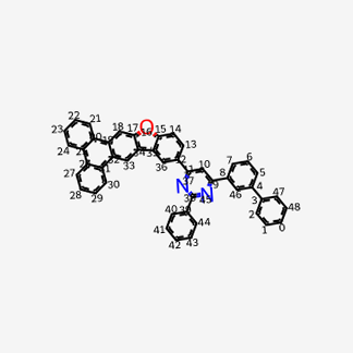 c1ccc(-c2cccc(-c3cc(-c4ccc5oc6cc7c8ccccc8c8ccccc8c7cc6c5c4)nc(-c4ccccc4)n3)c2)cc1